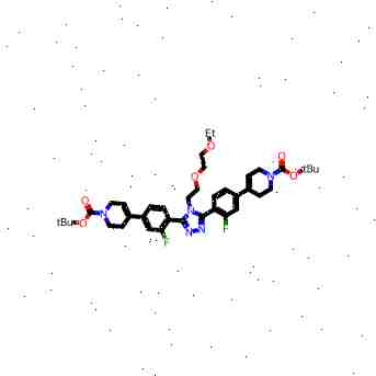 CCOCCOCCn1c(-c2ccc(C3=CCN(C(=O)OC(C)(C)C)CC3)cc2F)nnc1-c1ccc(C2=CCN(C(=O)OC(C)(C)C)CC2)cc1F